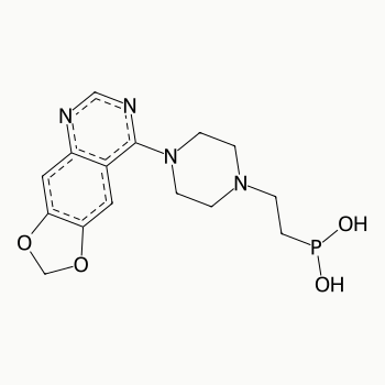 OP(O)CCN1CCN(c2ncnc3cc4c(cc23)OCO4)CC1